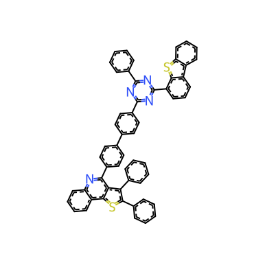 c1ccc(-c2nc(-c3ccc(-c4ccc(-c5nc6ccccc6c6sc(-c7ccccc7)c(-c7ccccc7)c56)cc4)cc3)nc(-c3cccc4c3sc3ccccc34)n2)cc1